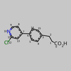 O=C(O)CCc1ccc(-c2ccnc(Cl)c2)cc1